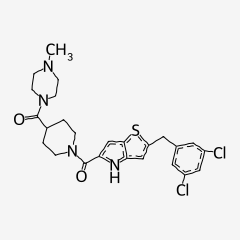 CN1CCN(C(=O)C2CCN(C(=O)c3cc4sc(Cc5cc(Cl)cc(Cl)c5)cc4[nH]3)CC2)CC1